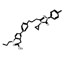 CCCOc1ccc(-c2ccc(CCCc3nn(-c4ccc(C)cc4)c(=O)n3C3CC3)cc2)cc1CC(=O)O